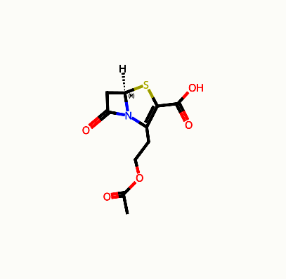 CC(=O)OCCC1=C(C(=O)O)S[C@@H]2CC(=O)N12